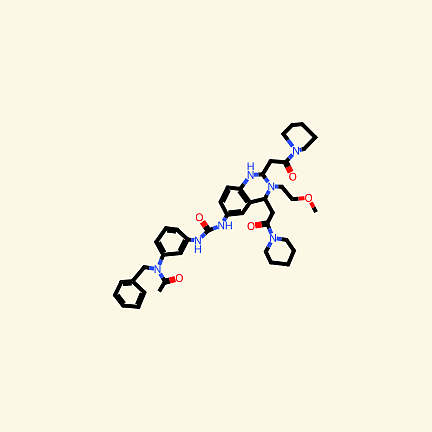 COCCN1C(CC(=O)N2CCCCC2)Nc2ccc(NC(=O)Nc3cccc(N(Cc4ccccc4)C(C)=O)c3)cc2C1CC(=O)N1CCCCC1